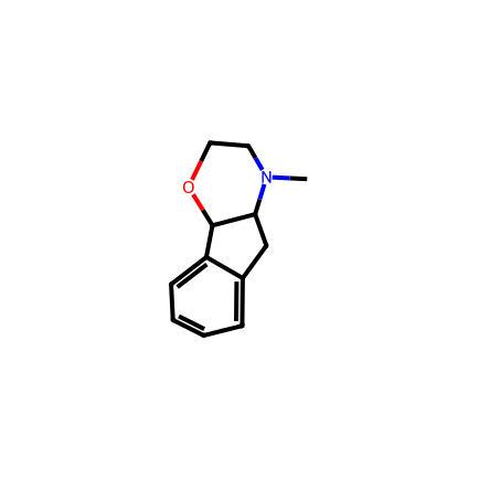 CN1CCOC2c3ccccc3CC21